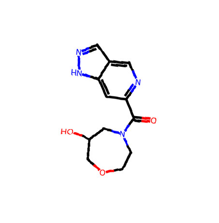 O=C(c1cc2[nH]ncc2cn1)N1CCOCC(O)C1